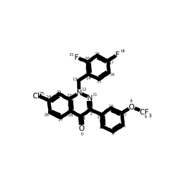 O=c1c(-c2cccc(OC(F)(F)F)c2)nn(Cc2ccc(F)cc2F)c2cc(Cl)ccc12